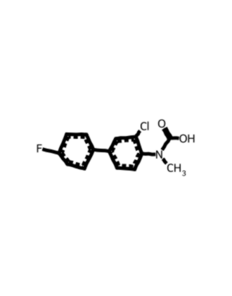 CN(C(=O)O)c1ccc(-c2ccc(F)cc2)cc1Cl